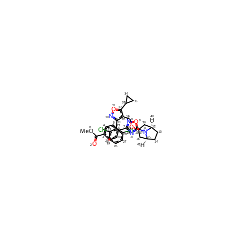 COC(=O)c1ccc(-c2noc(N3[C@@H]4CC[C@H]3C[C@@H](OCc3c(-c5c(Cl)cccc5Cl)noc3C3CC3)C4)n2)cc1